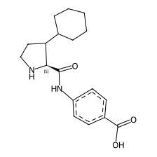 O=C(O)c1ccc(NC(=O)[C@H]2NCCC2C2CCCCC2)cc1